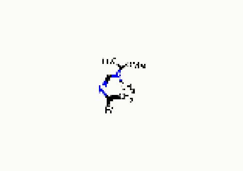 C=C(CC)/N=C\N(C)C(C)OC